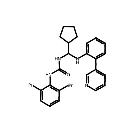 CC(C)c1cccc(C(C)C)c1NC(=O)NC(Nc1ccccc1-c1cccnc1)C1CCCC1